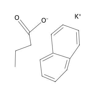 CCCC(=O)[O-].[K+].c1ccc2ccccc2c1